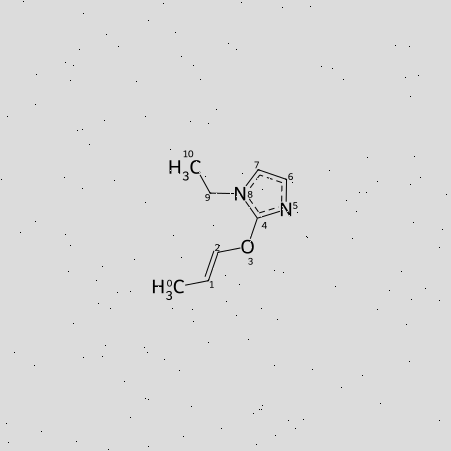 CC=COc1nccn1CC